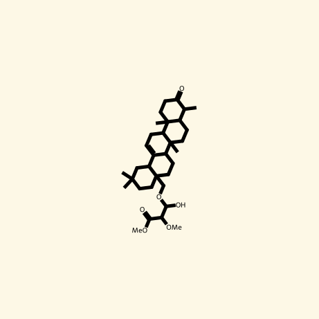 COC(=O)C(OC)C(O)OCC12CCC3C(=CCC4C3(C)CCC3C(C)C(=O)CCC34C)C1CC(C)(C)CC2